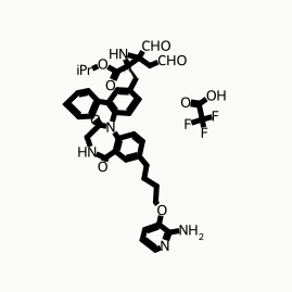 CC(C)OC(=O)[C@]1(Cc2ccc(N3C(=O)CNC(=O)c4cc(CCCCOc5cccnc5N)ccc43)c(-c3ccccc3)c2)NC1(C=O)CC=O.O=C(O)C(F)(F)F